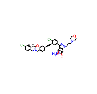 NN1CC2C(=O)C(=O)C1c1c(-c3ccc(Cl)c(C#Cc4ccc(CN(Cc5ccc(Cl)cc5)C(=O)C(F)(F)F)cc4)c3)nn(CCCN3CCOCC3)c12